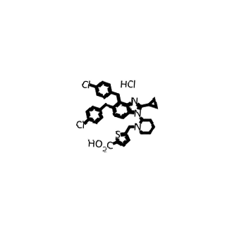 Cl.O=C(O)c1ccc(CN2CCCCC2n2c(C3CC3)nc3c(Cc4ccc(Cl)cc4)c(Cc4ccc(Cl)cc4)ccc32)s1